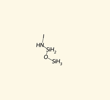 [SiH3]O[SiH2]NI